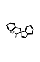 C[C](C)C1(Cc2ccccc2)C=Cc2ccccc21